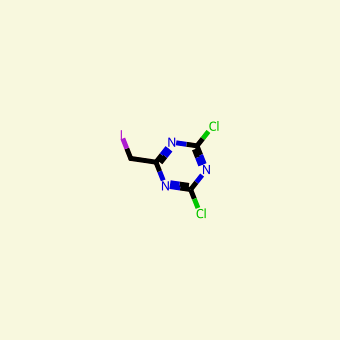 Clc1nc(Cl)nc(CI)n1